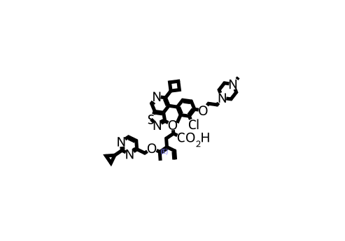 C=C/C(CC(Oc1nsc2cnc(C3CCC3)c(-c3ccc(OCCN4CCN(C)CC4)c(Cl)c3C)c12)C(=O)O)=C(\C)OCc1ccnc(C2CC2)n1